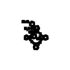 COc1cccc(OC(=O)C([SiH3])(c2cccc(OC)c2)c2cccc3c4nc5nc(nc6[nH]c(nc7nc(nc([nH]4)c23)-c2ccccc2-7)c2ccccc62)-c2ccccc2-5)c1